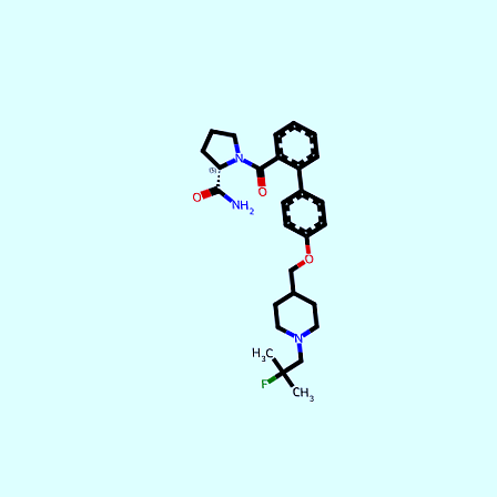 CC(C)(F)CN1CCC(COc2ccc(-c3ccccc3C(=O)N3CCC[C@H]3C(N)=O)cc2)CC1